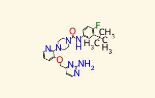 CC(C)(C)c1cc(NC(=O)N2CCN(c3ncccc3OCc3ccnc(N)n3)CC2)ccc1F